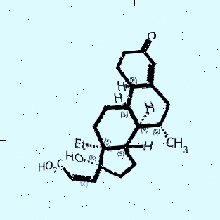 CC[C@]12CC[C@H]3[C@@H]([C@@H](C)CC4=CC(=O)CC[C@@H]43)[C@@H]1CC[C@@]2(O)/C=C\C(=O)O